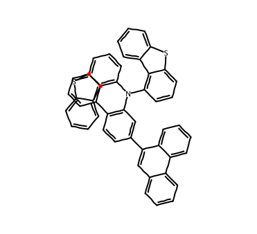 c1ccc(-c2ccc(-c3cc4ccccc4c4ccccc34)cc2N(c2cccc3sc4ccccc4c23)c2cccc3sc4ccccc4c23)cc1